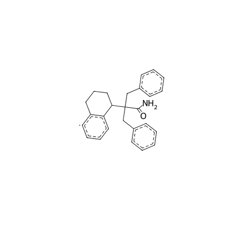 NC(=O)C(Cc1ccccc1)(Cc1ccccc1)C1CCCc2[c]cccc21